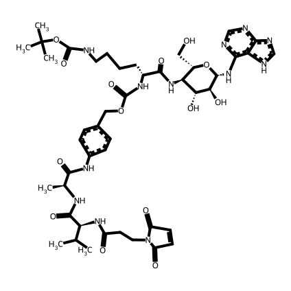 CC(C)[C@H](NC(=O)CCN1C(=O)C=CC1=O)C(=O)N[C@@H](C)C(=O)Nc1ccc(COC(=O)N[C@H](CCCCNC(=O)OC(C)(C)C)C(=O)N[C@@H]2[C@@H](O)[C@H](O)[C@@H](Nc3ncnc4nc[nH]c34)O[C@H]2CO)cc1